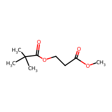 COC(=O)CCOC(=O)C(C)(C)C